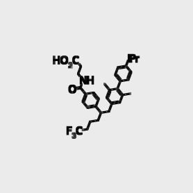 Cc1cc(CC(CCCC(F)(F)F)c2ccc(C(=O)NCCC(=O)O)cc2)cc(C)c1-c1ccc(C(C)C)cc1